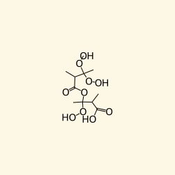 CC(C(=O)O)C(C)(OO)OC(=O)C(C)C(C)(OO)OO